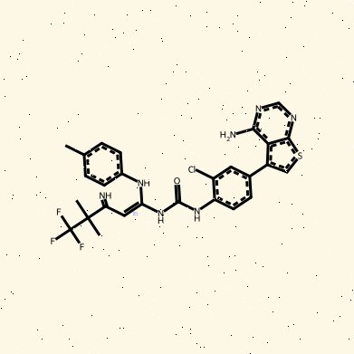 Cc1ccc(N/C(=C\C(=N)C(C)(C)C(F)(F)F)NC(=O)Nc2ccc(-c3csc4ncnc(N)c34)cc2Cl)cc1